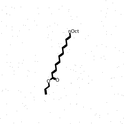 C=CCOC(=O)/C=C/C=C/C=C/C=C/C=C/CCCCCCCC